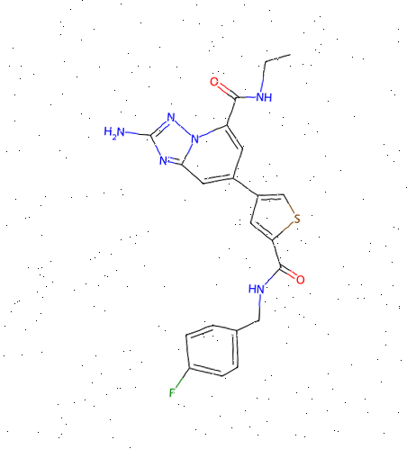 CCNC(=O)c1cc(-c2csc(C(=O)NCc3ccc(F)cc3)c2)cc2nc(N)nn12